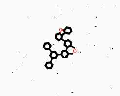 c1ccc(-c2cc(-c3ccccc3)cc(-c3ccc4c(c3)-c3cc(-c5cccc6oc7ccccc7c56)ccc3COC4)c2)cc1